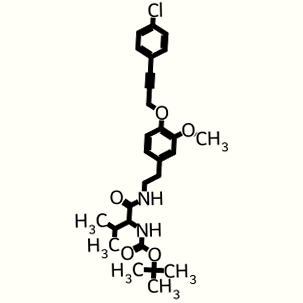 COc1cc(CCNC(=O)C(NC(=O)OC(C)(C)C)C(C)C)ccc1OCC#Cc1ccc(Cl)cc1